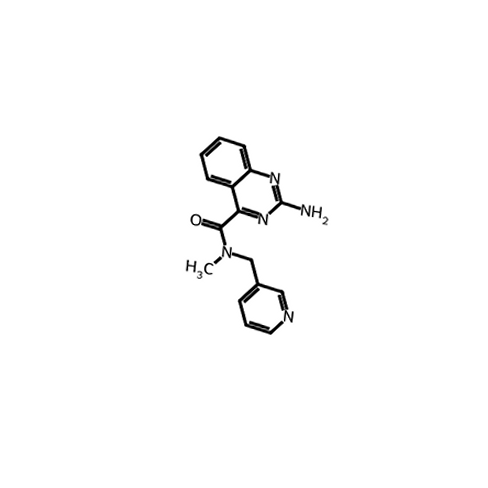 CN(Cc1cccnc1)C(=O)c1nc(N)nc2ccccc12